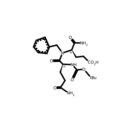 CC(C)(C)OC(=O)N[C@@H](CCC(N)=O)C(=O)N(Cc1ccccc1)[C@H](CCC(=O)O)C(N)=O